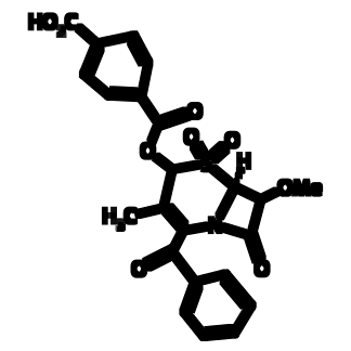 COC1C(=O)N2C(C(=O)c3ccccc3)=C(C)C(OC(=O)c3ccc(C(=O)O)cc3)S(=O)(=O)[C@@H]12